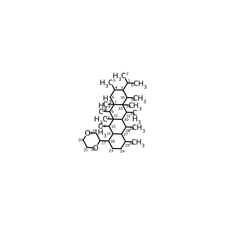 CC(C)C1C(C)CC2(C)C(C)C3(C)C(C)C4C(C5COCCO5)CCC(C)C4C(C)C3C(C)C2(C)C1C